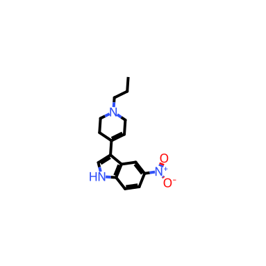 CCCN1CC=C(c2c[nH]c3ccc([N+](=O)[O-])cc23)CC1